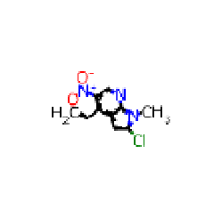 C=Cc1c([N+](=O)[O-])cnc2c1cc(Cl)n2C